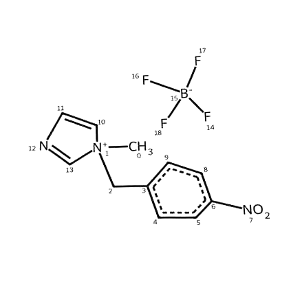 C[N+]1(Cc2ccc([N+](=O)[O-])cc2)C=CN=C1.F[B-](F)(F)F